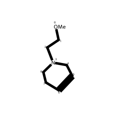 COCCN1CC#CCC1